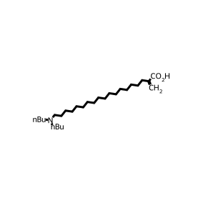 C=C(CCCCCCCCCCCCCCCCCN(CCCC)CCCC)C(=O)O